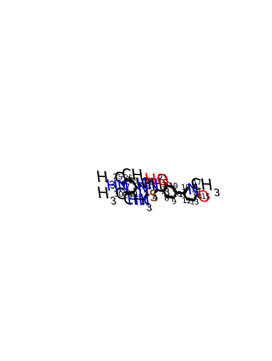 CN(C(=N)SC(=N)c1ccc(-c2ccc(=O)n(C)c2)cc1O)C1CC(C)(C)NC(C)(C)C1